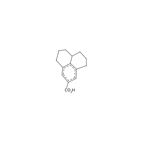 O=C(O)c1cc2c3c(c1)CCCC3CCC2